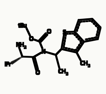 Cc1c(C(C)N(C(=O)OC(C)(C)C)C(=O)[C@@H](N)C(C)C)sc2ccccc12